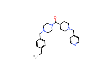 CCc1ccc(CN2CCN(C(=O)C3CCN(Cc4ccncc4)CC3)CC2)cc1